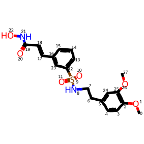 COc1ccc(CCNS(=O)(=O)c2cccc(C=CC(=O)NO)c2)cc1OC